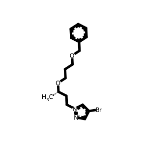 C[C@@H](CCn1cc(Br)cn1)OCCCOCc1ccccc1